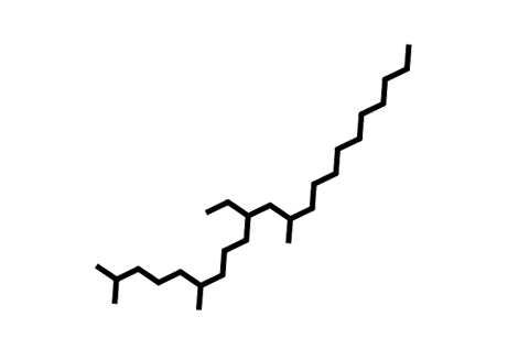 CCCCCCCCCCC(C)CC(CC)CCCC(C)CCCC(C)C